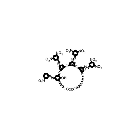 O=[N+]([O-])c1cccc(N=Nc2cc3c(O)c(c2)Cc2cc(N=Nc4cc([N+](=O)[O-])cc([N+](=O)[O-])c4)cc(c2O)Cc2cc(N=Nc4cc([N+](=O)[O-])cc([N+](=O)[O-])c4)cc(c2O)Cc2cc(N=Nc4cc([N+](=O)[O-])cc([N+](=O)[O-])c4)cc(c2O)CCCCCCCCCCCCCCC3)c1